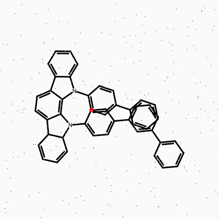 C1=CC2c3ccc4c5ccccc5n(-c5ccc(-c6ccccc6)cc5)c4c3N(c3ccc(-c4cccc(-c5ccccc5)c4)cc3)C2C=C1